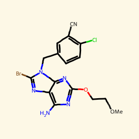 COCCOc1nc(N)c2nc(Br)n(Cc3ccc(Cl)c(C#N)c3)c2n1